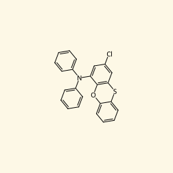 Clc1cc2c(c(N(c3ccccc3)c3ccccc3)c1)Oc1ccccc1S2